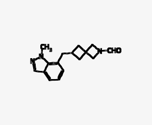 Cn1ncc2cccc(CC3CC4(C3)CN(C=O)C4)c21